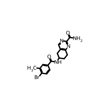 Cc1cc(C(=O)NC2CCc3nc(C(N)=O)ncc3C2)ccc1Br